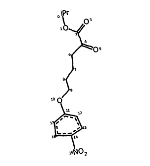 CC(C)OC(=O)C(=O)CCCCOc1ccc([N+](=O)[O-])cc1